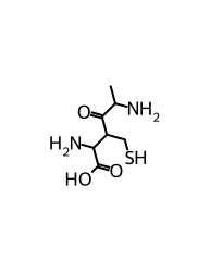 CC(N)C(=O)C(CS)C(N)C(=O)O